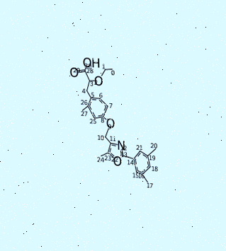 CCOC(Cc1ccc(OCc2nc(-c3cc(C)cc(C)c3)oc2C)cc1C)C(=O)O